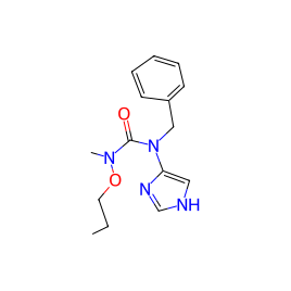 CCCON(C)C(=O)N(Cc1ccccc1)c1c[nH]cn1